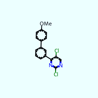 COc1ccc(-c2cccc(-c3nc(Cl)ncc3Cl)c2)cc1